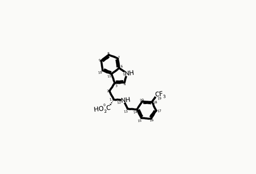 O=C(O)[C@H](Cc1c[nH]c2ccccc12)NCc1cccc(C(F)(F)F)c1